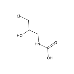 O=C(O)NCC(O)CCl